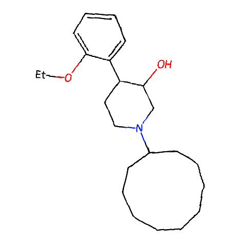 CCOc1ccccc1C1CCN(C2CCCCCCCCC2)CC1O